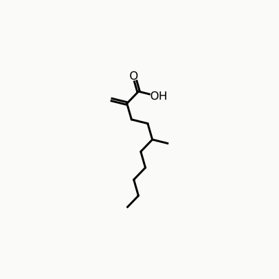 C=C(CCC(C)CCCCC)C(=O)O